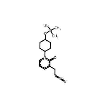 CC(C)(C)[Si](C)(C)OC1CCC(n2cccc(CN=[N+]=[N-])c2=O)CC1